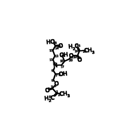 C=C(C)C(=O)OCC(O)CN(CCCC(=O)O)CC(O)COC(=O)C(=C)C